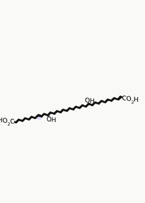 O=C(O)C=CCCCCCCCCC(O)CCCCCCCCCCCC[C@@H](O)C/C=C/CCCCCCCC(=O)O